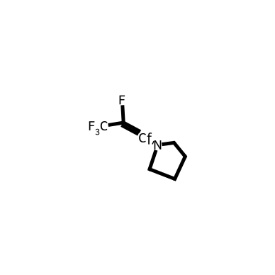 F[C](=[Cf][N]1CCCC1)C(F)(F)F